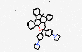 CC1(C)c2ccccc2-c2c3c(c4c(c21)C(c1ccccc1)=CC(c1ccc(N2CCCC2)cc1)(c1ccc(N2CCCC2)cc1)O4)C=CC#CC3